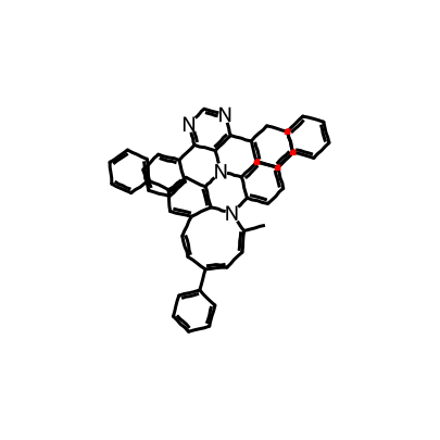 Cc1ccc(-c2ccccc2)ccc2cc(-c3ccccc3)cc3c2n1-c1ccc(-c2ccccc2)cc1N3c1c(C2=CC=CCC2)ncnc1-c1ccccc1